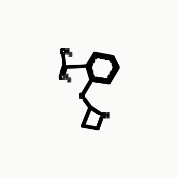 C=C(C)c1ccccc1OC1CCN1